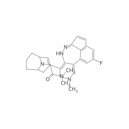 CN1C=C2C(=C(C3=CC4CCCC(C3)N4CC(=O)N(C)C)C1)NN=C1C=Cc3cc(F)cc2c31